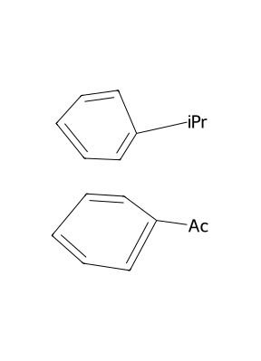 CC(=O)c1ccccc1.CC(C)c1ccccc1